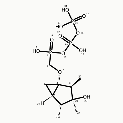 C[C@@H]1[C@H]2C[C@@]2(OCP(=O)(O)OP(=O)(O)OP(=O)(O)O)[C@@H](C)[C@@]1(C)O